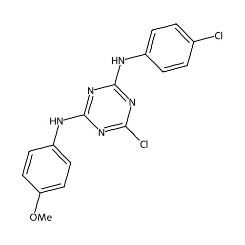 COc1ccc(Nc2nc(Cl)nc(Nc3ccc(Cl)cc3)n2)cc1